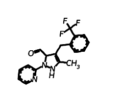 CC1=C(Cc2ccccc2C(F)(F)F)C(C=O)N(c2ccccn2)N1